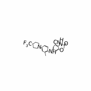 Cc1cc(N2CCC(C(F)(F)F)CC2)ccc1Nc1cc(C#N)c2c(c1)OCC(=O)N2